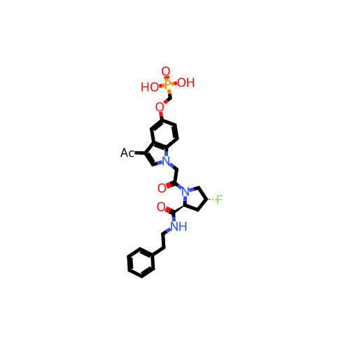 CC(=O)c1cn(CC(=O)N2C[C@H](F)C[C@H]2C(=O)NCCc2ccccc2)c2ccc(OCP(=O)(O)O)cc12